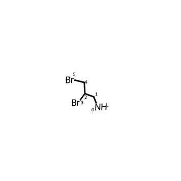 [NH]CC(Br)CBr